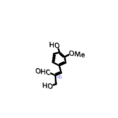 COc1cc(/C=C(\C=O)CO)ccc1O